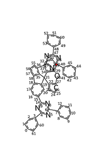 c1ccc(-c2nc(-c3ccccc3)nc(-c3ccc4c(c3)C3(c5ccccc5Oc5ccccc53)c3c(-c5nc(-c6ccccc6)nc(-c6ccccc6)n5)cccc3-4)n2)cc1